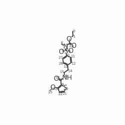 CCOC(=O)N(C)S(=O)(=O)c1ccc(CCNC(=O)c2sccc2OC)cc1